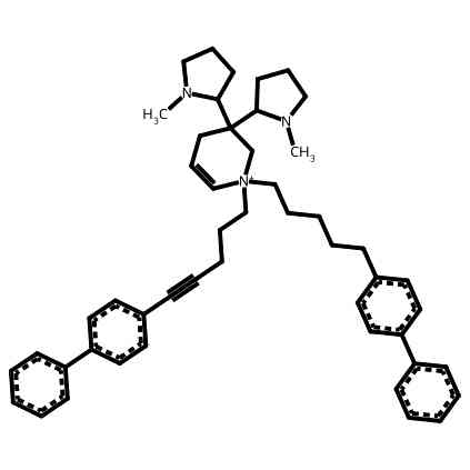 CN1CCCC1C1(C2CCCN2C)CC=C[N+](CCCC#Cc2ccc(-c3ccccc3)cc2)(CCCCCc2ccc(-c3ccccc3)cc2)C1